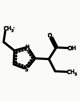 [CH2]Cc1csc(C(CC)C(=O)O)n1